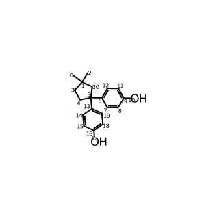 CC1(C)CCC(c2ccc(O)cc2)(c2ccc(O)cc2)C1